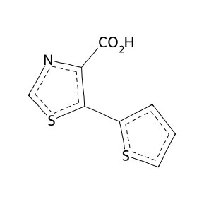 O=C(O)c1ncsc1-c1cccs1